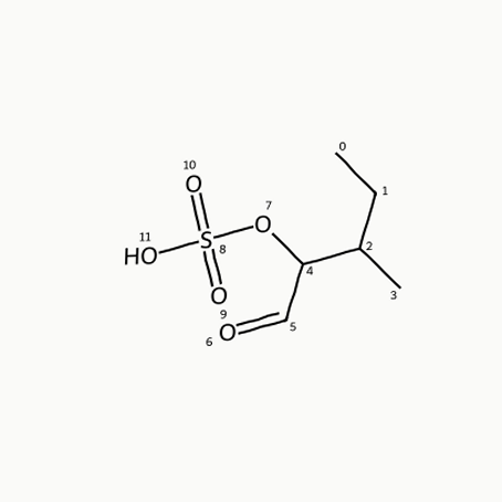 CCC(C)C(C=O)OS(=O)(=O)O